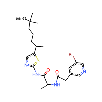 COC(C)(C)CCCC(C)c1cnc(NC(=O)C(C)NC(=O)Cc2cncc(Br)c2)s1